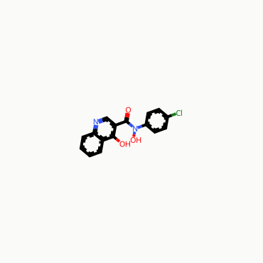 O=C(c1cnc2ccccc2c1O)N(O)c1ccc(Cl)cc1